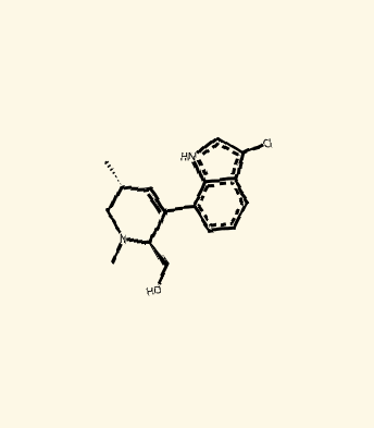 C[C@@H]1C=C(c2cccc3c(Cl)c[nH]c23)[C@@H](CO)N(C)C1